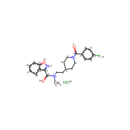 CN(CCC1CCN(C(=O)c2ccc(F)cc2)CC1)C(=O)c1noc2ccccc12.Cl